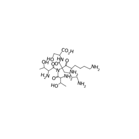 CC(O)C(N)C(=O)N(C(=O)C(N)C(C)O)C(CCCCN)(C(=O)NC(CO)C(=O)O)C(=O)C(N)CCCCN